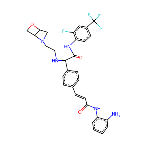 Nc1ccccc1NC(=O)/C=C/c1ccc(C(NCCN2CC3OCC32)C(=O)Nc2ccc(C(F)(F)F)cc2F)cc1